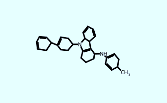 CC1C=CC(NC2CCCC3=C2C2C=CC=CC2N3C2CC=C(C3C=CC=CC3)CC2)=CC1